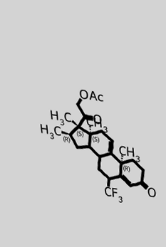 CC(=O)OCC(=O)[C@@]1(C)[C@H](C)CC2C3CC(C(F)(F)F)C4=CC(=O)CC[C@]4(C)C3=CC[C@@]21C